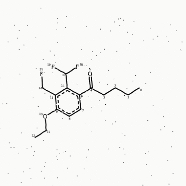 CCCCC(=O)c1ccc(OCC)c(CF)c1C(F)F